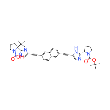 CC(C)(C)OC(=O)N1CCC[C@H]1c1ncc(C#Cc2ccc3cc(C#Cc4c[nH]c([C@@]5(C(C)(C)C)CCCN5C(=O)O)n4)ccc3c2)[nH]1